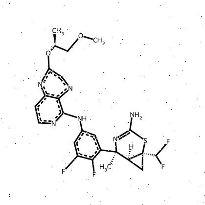 COC[C@H](C)Oc1cnc2c(Nc3cc(F)c(F)c([C@@]4(C)N=C(N)S[C@@]5(C(F)F)C[C@@H]45)c3)nccc2n1